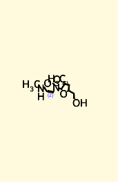 CNC(=O)/C=C\N(C=O)C1OC(CCO)C[C@@H]1C